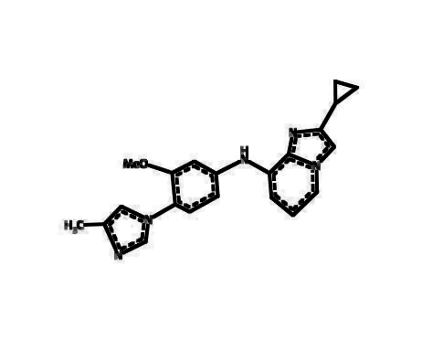 COc1cc(Nc2cccn3cc(C4CC4)nc23)ccc1-n1cnc(C)c1